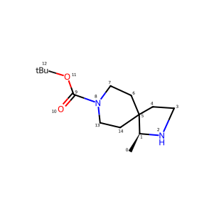 C[C@@H]1NCCC12CCN(C(=O)OC(C)(C)C)CC2